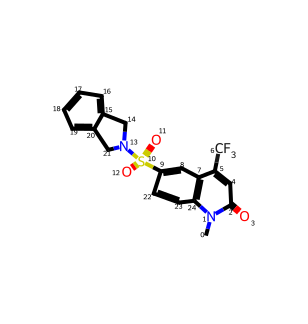 Cn1c(=O)cc(C(F)(F)F)c2cc(S(=O)(=O)N3Cc4ccccc4C3)ccc21